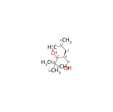 CC(C)C[C@@H](CO)C(=O)C(C)(C)C